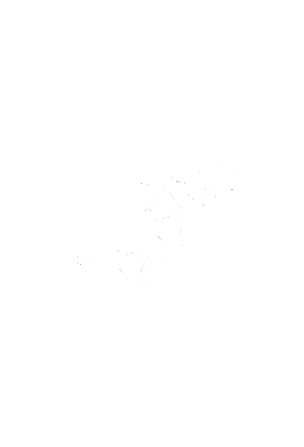 CCOCc1nc2c(N)nc3cc(Cc4ccc(CCN)cc4)ccc3c2n1CC(C)(C)O